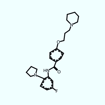 O=C(Nc1cc(F)ccc1N1CCCC1)c1ccc(OCCCN2CCCCC2)cc1